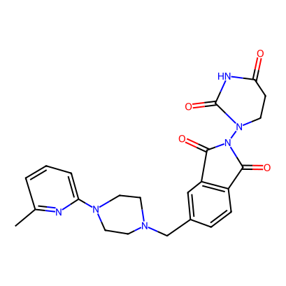 Cc1cccc(N2CCN(Cc3ccc4c(c3)C(=O)N(N3CCC(=O)NC3=O)C4=O)CC2)n1